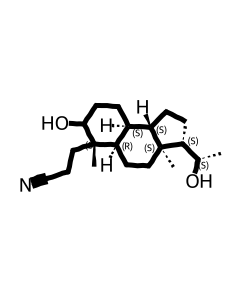 C[C@H](O)[C@H]1CC[C@H]2[C@@H]3CCC(O)[C@@](C)(CCC#N)[C@@H]3CC[C@]12C